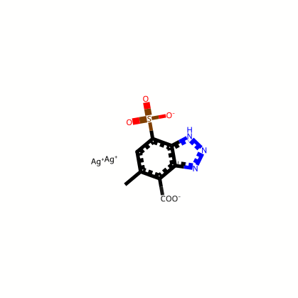 Cc1cc(S(=O)(=O)[O-])c2[nH]nnc2c1C(=O)[O-].[Ag+].[Ag+]